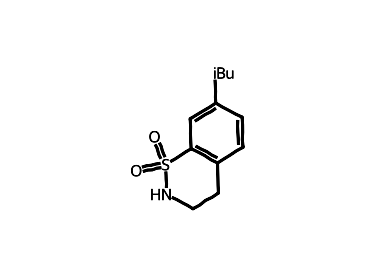 CCC(C)c1ccc2c(c1)S(=O)(=O)NCC2